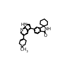 CN1CC=C(c2cnc3[nH]cc(-c4ccc5c(c4)C4(CCCCC4)NC5=O)c3c2)CC1